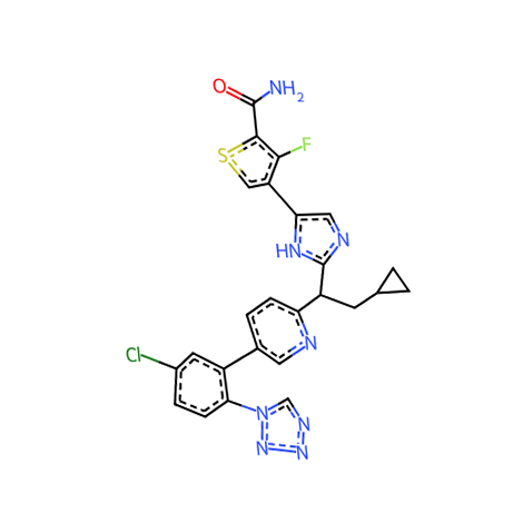 NC(=O)c1scc(-c2cnc(C(CC3CC3)c3ccc(-c4cc(Cl)ccc4-n4cnnn4)cn3)[nH]2)c1F